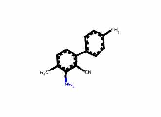 Cc1ccc(-c2ccc(C)c(N)c2C#N)cc1